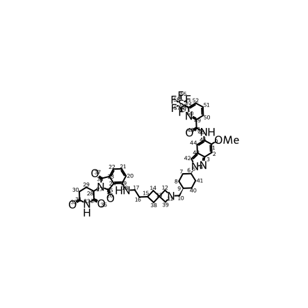 COc1cc2nn([C@H]3CC[C@H](CN4CC5(CC(CCNc6cccc7c6C(=O)N(C6CCC(=O)NC6=O)C7=O)C5)C4)CC3)cc2cc1NC(=O)c1cccc(S(F)(F)(F)(F)F)n1